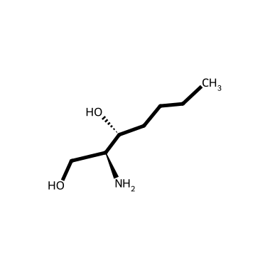 CCCC[C@@H](O)[C@@H](N)CO